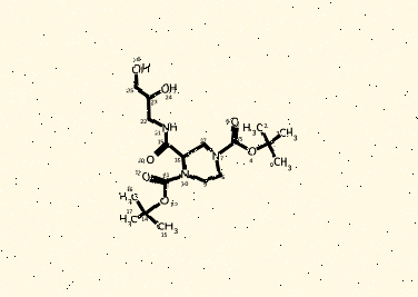 CC(C)(C)OC(=O)N1CCN(C(=O)OC(C)(C)C)C(C(=O)NCC(O)CO)C1